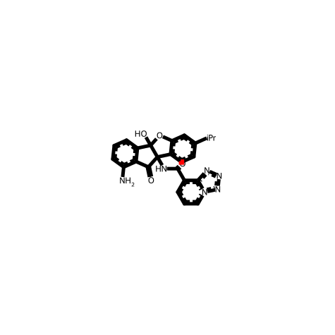 CC(C)c1ccc2c(c1)OC1(O)c3cccc(N)c3C(=O)C21NC(=O)c1cccn2nnnc12